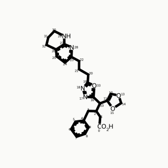 O=C(O)CC(Cc1ccccc1)C(C1=COCO1)c1nnc(CCCc2ccc3c(n2)NCCC3)o1